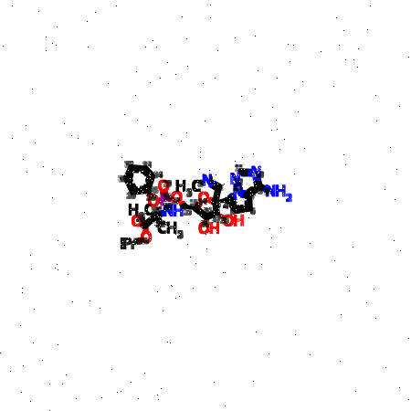 C/N=C\[C@@]1(c2ccc3c(N)ncnn23)O[C@H](COP(=O)(NC(C)(C)C(=O)OC(C)C)Oc2ccccc2)[C@@H](O)[C@H]1O